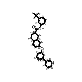 CC(C)(C)c1cccc(NC(=O)C2CCc3ccc(Oc4ccnc(-c5cccnc5)c4)cc3C2)c1